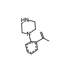 C=C(C)c1ccccc1N1CCNCC1